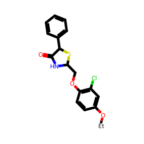 CCOc1ccc(OCC2NC(=O)C(c3ccccc3)S2)c(Cl)c1